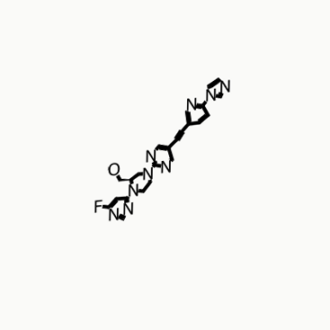 COC[C@H]1CN(c2ncc(C#Cc3ccc(-n4ccnc4)nc3)cn2)CCN1c1cc(F)ncn1